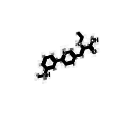 CCO/C(=C\c1ccc(-c2cccc(NC)c2)nc1)C(=O)O